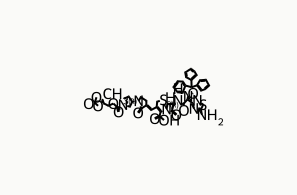 Cc1oc(=O)oc1COC(=O)N1CC[C@@H](N2CCC(=CC3=C(C(=O)O)N4C(=O)[C@@H](NC(=O)C(=NOC(c5ccccc5)(c5ccccc5)c5ccccc5)c5nsc(N)n5)[C@H]4SC3)C2=O)C1